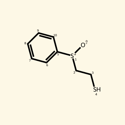 [O-][S+](CCS)c1ccccc1